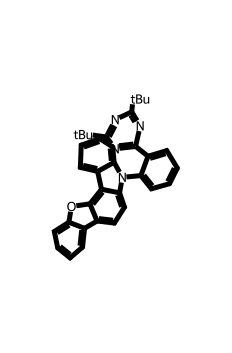 CC(C)(C)c1nc(-c2ccccc2-n2c3ccccc3c3c4oc5ccccc5c4ccc32)nc(C(C)(C)C)n1